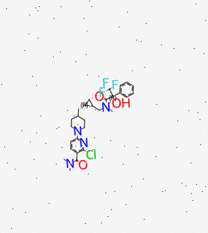 CN(C)C(=O)c1ccc(N2CCC(C[C@@H]3CC3CN(C)C(=O)[C@](O)(c3ccccc3)C(F)(F)F)CC2)nc1Cl